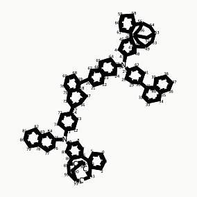 c1ccc2c(c1)-c1ccc(N(c3ccc(-c4ccc5c(-c6ccc7cc(N(c8ccc(-c9cccc%10ccccc9%10)cc8)c8ccc9c(c8)C8CC%10CC(CC(C%10)c%10ccccc%10-9)C8)ccc7c6)cccc5c4)cc3)c3ccc4ccccc4c3)cc1C1CC3CC(CC2C3)C1